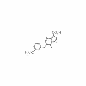 Cc1c(Cc2cccc(OC(F)(F)F)c2)cnc2c(C(=O)O)cnn12